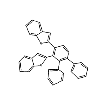 c1ccc(-c2ccc(-c3cc4ccccc4s3)c(-c3cc4ccccc4s3)c2-c2ccccc2)cc1